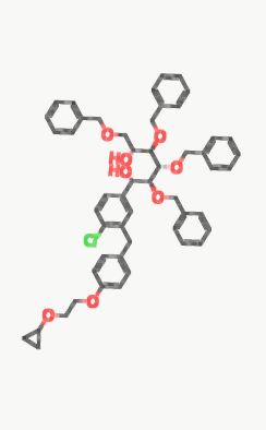 OC(c1ccc(Cl)c(Cc2ccc(OCCOC3CC3)cc2)c1)[C@H](OCc1ccccc1)[C@@H](OCc1ccccc1)[C@H](OCc1ccccc1)[C@H](O)COCc1ccccc1